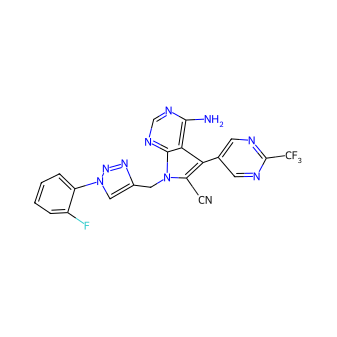 N#Cc1c(-c2cnc(C(F)(F)F)nc2)c2c(N)ncnc2n1Cc1cn(-c2ccccc2F)nn1